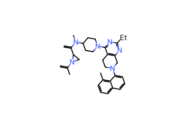 C=C(C1CN1C(=C)C)N(C)C1CCN(c2nc(CC)nc3c2CCN(c2cccc4cccc(C)c24)C3)CC1